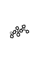 c1ccc(-n2c3ccccc3c3cc([Si](c4ccccc4)(c4ccccc4)c4ccc5oc6ccccc6c5c4)ccc32)cc1